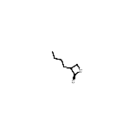 CCCCC1COC1=O